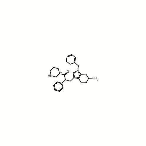 BC1C=Cc2c(CC(C(=O)[C@@H]3CCCNC3)c3ccccc3)cn(CC3=CC=CCC3)c2C1